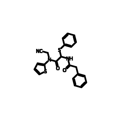 N#CCN(C(=O)C(NC(=O)Cc1ccccc1)Sc1ccccc1)c1cccs1